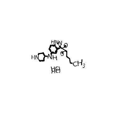 CCCCCS(=O)(=O)c1n[nH]c2ccc(NC3CCNCC3)cc12.Cl.Cl